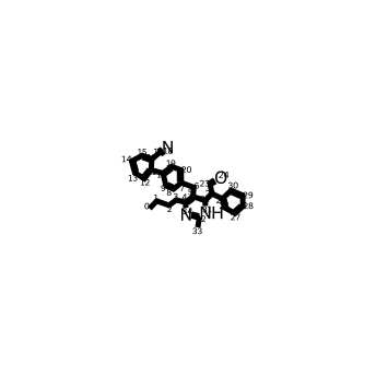 CCCCC1=C(Cc2ccc(-c3ccccc3C#N)cc2)C(C(C=O)c2ccccc2)NC(C)=N1